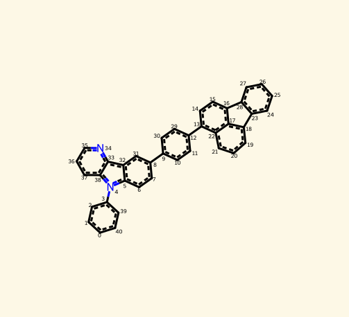 c1ccc(-n2c3ccc(-c4ccc(-c5ccc6c7c(cccc57)-c5ccccc5-6)cc4)cc3c3ncccc32)cc1